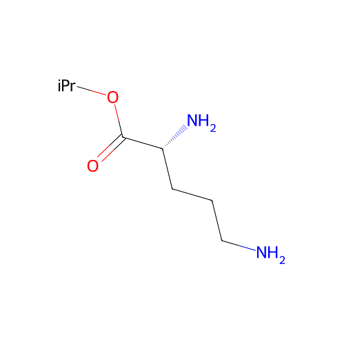 CC(C)OC(=O)[C@H](N)CCCN